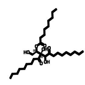 CCCCCCCCC(=O)O[C@H](CO)[C@](O)(C(=O)CCCCCCCC)C(O)C(=O)CCCCCCCC